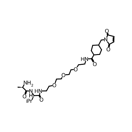 CC(C)[C@@H](NC(=O)[C@@H](C)N)C(=O)NCCOCCOCCOCCNC(=O)C1CCC(CN2C(=O)C=CC2=O)CC1